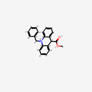 COC(=O)C1c2ccccc2N(Cc2ccccc2)c2ccccc21